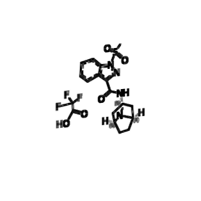 CN1[C@@H]2CC[C@H]1C[C@H](NC(=O)c1nn(S(C)(=O)=O)c3ccccc13)C2.O=C(O)C(F)(F)F